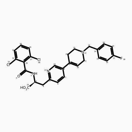 O=C(N[C@@H](Cc1ccc(C2=CCN(Cc3ccc(F)cc3)CC2)cn1)C(=O)O)c1c(Cl)cccc1Cl